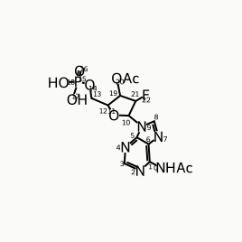 CC(=O)Nc1ncnc2c1ncn2C1OC(COP(=O)(O)O)C(OC(C)=O)C1F